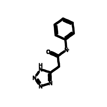 O=C(Cc1nnn[nH]1)[N]c1ccccc1